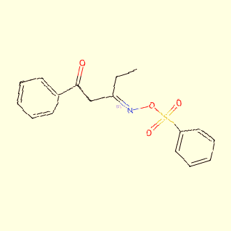 CC/C(CC(=O)c1ccccc1)=N\OS(=O)(=O)c1ccccc1